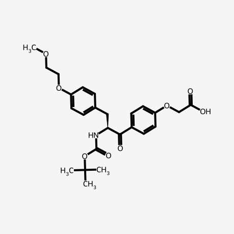 COCCOc1ccc(C[C@H](NC(=O)OC(C)(C)C)C(=O)c2ccc(OCC(=O)O)cc2)cc1